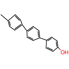 Cc1ccc(-c2ccc(-c3ccc(O)cc3)cc2)cc1